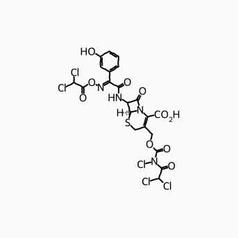 O=C(O)C1=C(COC(=O)N(Cl)C(=O)C(Cl)Cl)CS[C@H]2C(NC(=O)C(=NOC(=O)C(Cl)Cl)c3cccc(O)c3)C(=O)N12